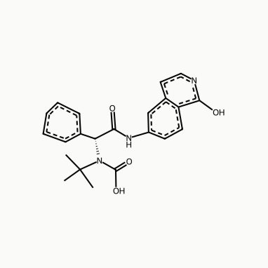 CC(C)(C)N(C(=O)O)[C@@H](C(=O)Nc1ccc2c(O)nccc2c1)c1ccccc1